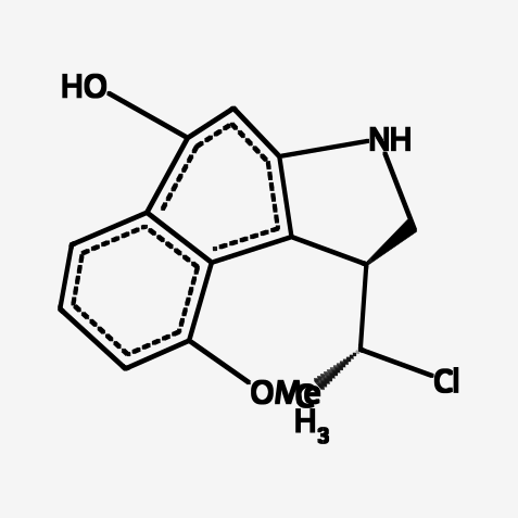 COc1cccc2c(O)cc3c(c12)[C@H]([C@@H](C)Cl)CN3